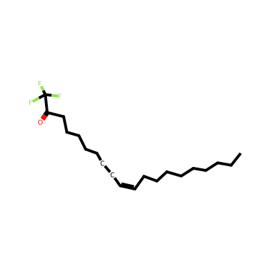 CCCCCCCCC/C=C\CCCCCCCC(=O)C(F)(F)F